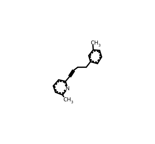 Cc1cccc(CCC#Cc2cccc(C)n2)c1